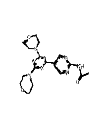 CC(=O)Nc1ncc(-c2nc(N3CCOCC3)nc(N3CCOCC3)n2)cn1